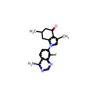 Cc1cn(-c2ccc3c(N)ncnc3c2F)c2c1C(=O)CC(C)C2